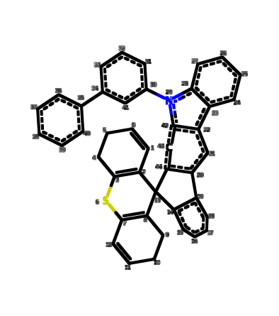 C1=CC2=C(CC1)SC1=C(CCC=C1)C21c2ccccc2-c2cc3c4ccccc4n(-c4cccc(-c5ccccc5)c4)c3cc21